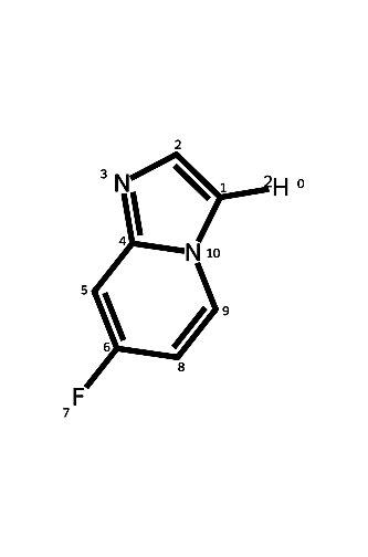 [2H]c1cnc2cc(F)ccn12